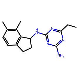 CCc1nc(N)nc(NC2CCc3ccc(C)c(C)c32)n1